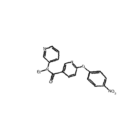 CCN(C(=O)c1ccc(Oc2ccc([N+](=O)[O-])cc2)nc1)c1cccnc1